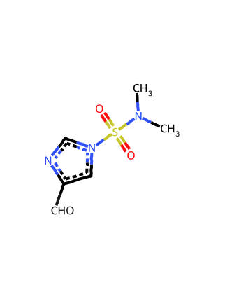 CN(C)S(=O)(=O)n1cnc(C=O)c1